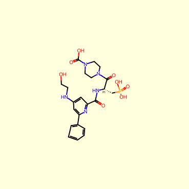 O=C(N[C@@H](CP(=O)(O)O)C(=O)N1CCN(C(=O)O)CC1)c1cc(NCCO)cc(-c2ccccc2)n1